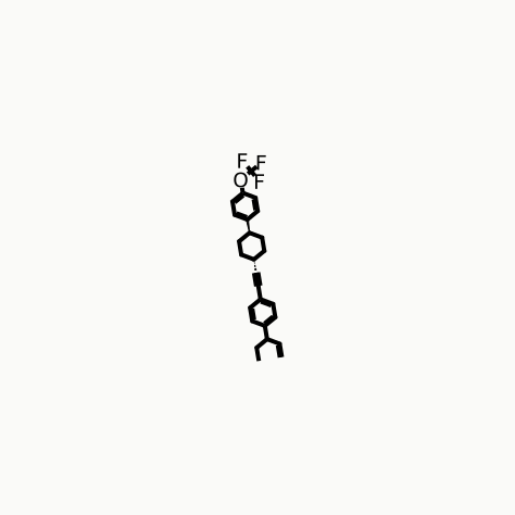 C=CC(CC)c1ccc(C#C[C@H]2CC[C@H](c3ccc(OC(F)(F)F)cc3)CC2)cc1